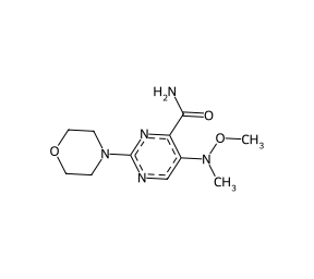 CON(C)c1cnc(N2CCOCC2)nc1C(N)=O